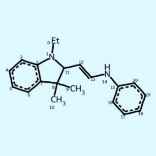 CCN1c2ccccc2C(C)(C)C1/C=C/Nc1ccccc1